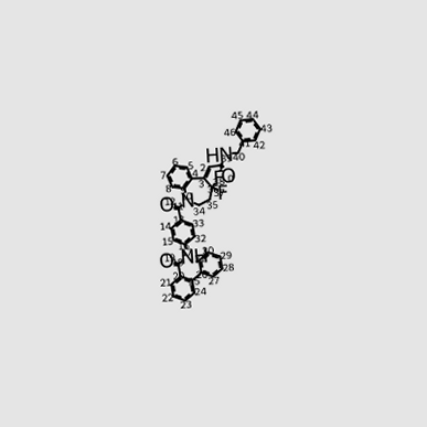 O=C(C=C1c2ccccc2N(C(=O)c2ccc(NC(=O)c3ccccc3-c3ccccc3)cc2)CCC1(F)F)NCc1ccccc1